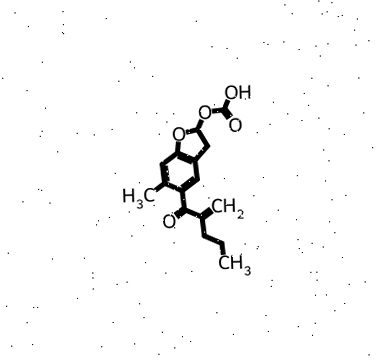 C=C(CCC)C(=O)c1cc2c(cc1C)OC(OC(=O)O)C2